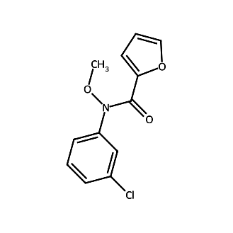 CON(C(=O)c1ccco1)c1cccc(Cl)c1